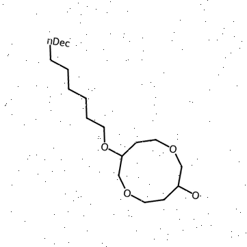 [CH2]CCCCCCCCCCCCCCCOC1CCOCC([O])CCOC1